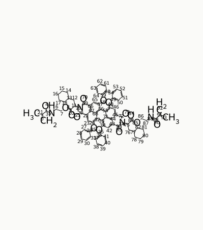 C=C(C)C(=O)NCCOC(=O)C(CC1CCCCC1)N1C(=O)c2cc(Oc3ccccc3)c3c4c(Oc5ccccc5)cc5c6c(cc(Oc7ccccc7)c(c7c(Oc8ccccc8)cc(c2c37)C1=O)c64)C(=O)N(C(CC1CCCCC1)C(=O)OCCNC(=O)C(=C)C)C5=O